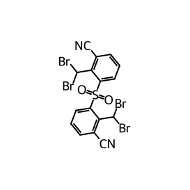 N#Cc1cccc(S(=O)(=O)c2cccc(C#N)c2C(Br)Br)c1C(Br)Br